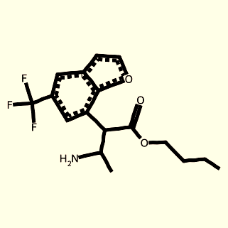 CCCCOC(=O)C(c1cc(C(F)(F)F)cc2ccoc12)C(C)N